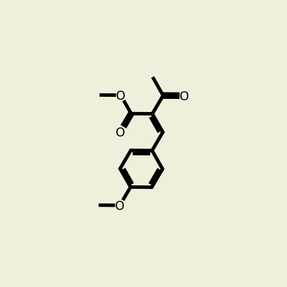 COC(=O)/C(=C\c1ccc(OC)cc1)C(C)=O